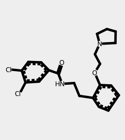 O=C(NCCc1ccccc1OCCN1CCCC1)c1ccc(Cl)c(Cl)c1